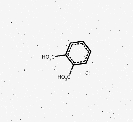 O=C(O)c1ccccc1C(=O)O.[C]